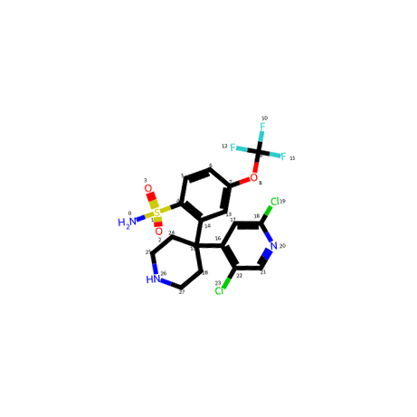 NS(=O)(=O)c1ccc(OC(F)(F)F)cc1C1(c2cc(Cl)ncc2Cl)CCNCC1